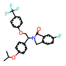 CC(C)Oc1ccc(C(COc2ccc(C(F)(F)F)cc2)N2Cc3ccc(F)cc3C2=O)cc1